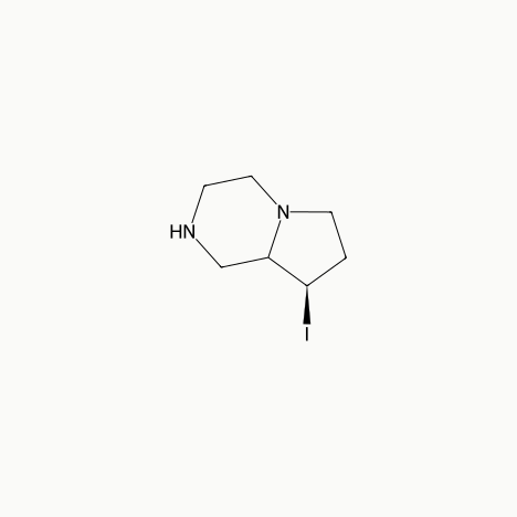 I[C@@H]1CCN2CCNCC12